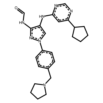 O=CNc1nn(-c2ccc(CN3CCCC3)cc2)cc1Nc1cc(C2CCCC2)ncn1